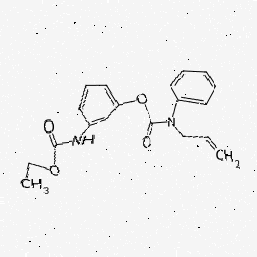 C=CCN(C(=O)Oc1cccc(NC(=O)OCC)c1)c1ccccc1